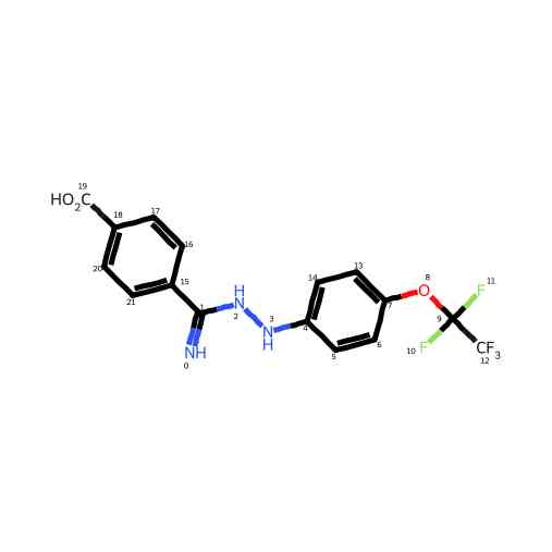 N=C(NNc1ccc(OC(F)(F)C(F)(F)F)cc1)c1ccc(C(=O)O)cc1